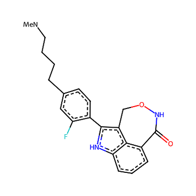 CNCCCCc1ccc(-c2[nH]c3cccc4c3c2CONC4=O)c(F)c1